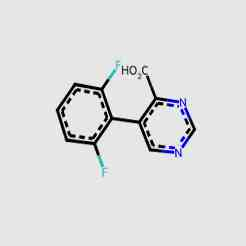 O=C(O)c1ncncc1-c1c(F)cccc1F